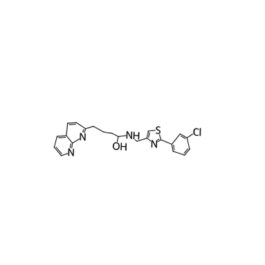 OC(CCCc1ccc2cccnc2n1)NCc1csc(-c2cccc(Cl)c2)n1